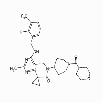 Cc1nc(NCc2cccc(C(F)(F)F)c2F)c2c(n1)C1(CC1)C(=O)N(C1CCN(C(=O)C3CCOCC3)CC1)C2